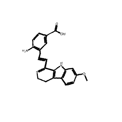 COc1ccc2c3c([nH]c2c1)C(/C=C/c1cc(C(=O)O)ccc1N)=NCC3